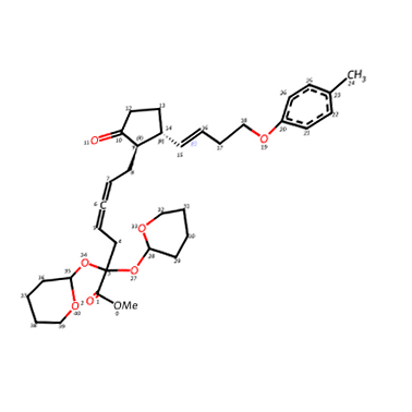 COC(=O)C(CC=C=CC[C@H]1C(=O)CC[C@@H]1/C=C/CCOc1ccc(C)cc1)(OC1CCCCO1)OC1CCCCO1